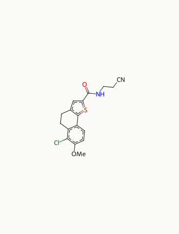 COc1ccc2c(c1Cl)CCc1cc(C(=O)NCCC#N)sc1-2